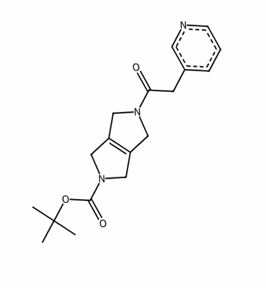 CC(C)(C)OC(=O)N1CC2=C(CN(C(=O)Cc3cccnc3)C2)C1